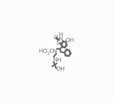 CC(C)(CO)CNCCN(CC(Cc1ccccc1)c1ccc(O)c2[nH]c(=O)sc12)C(=O)O